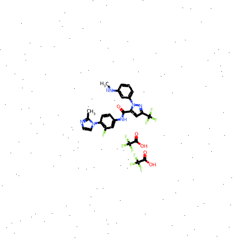 CNc1cccc(-n2nc(C(F)(F)F)cc2C(=O)Nc2ccc(-n3ccnc3C)c(F)c2)c1.O=C(O)C(F)(F)F.O=C(O)C(F)(F)F